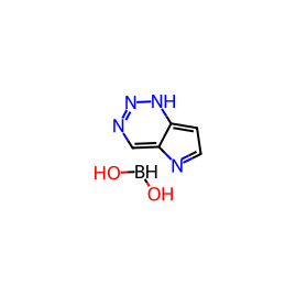 OBO.c1cc2[nH]nncc-2n1